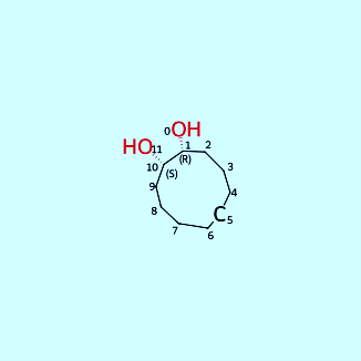 O[C@@H]1CCCCCCCC[C@@H]1O